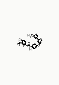 Cn1cc(-c2cc(Oc3ccc(NC(=O)Nc4ccc(Cl)c(C(F)(F)F)c4)c(F)c3)ncn2)cn1